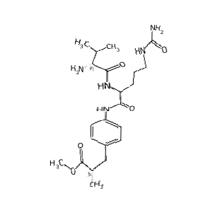 COC(=O)[C@@H](C)Cc1ccc(NC(=O)C(CCCNC(N)=O)NC(=O)[C@H](N)C(C)C)cc1